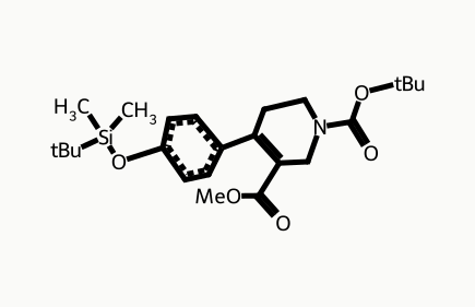 COC(=O)C1=C(c2ccc(O[Si](C)(C)C(C)(C)C)cc2)CCN(C(=O)OC(C)(C)C)C1